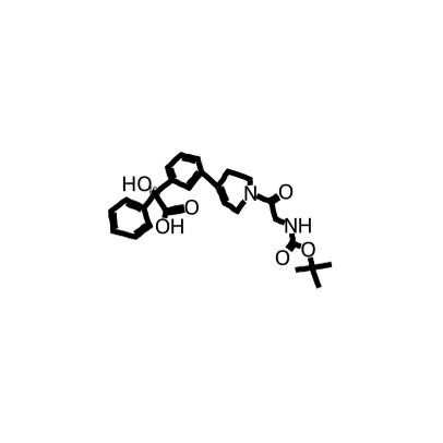 CC(C)(C)OC(=O)NCC(=O)N1CC=C(c2cccc([C@](O)(C(=O)O)c3ccccc3)c2)CC1